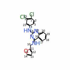 Clc1ccc(Nc2nc(NCc3ccco3)c3ccccc3n2)cc1Cl